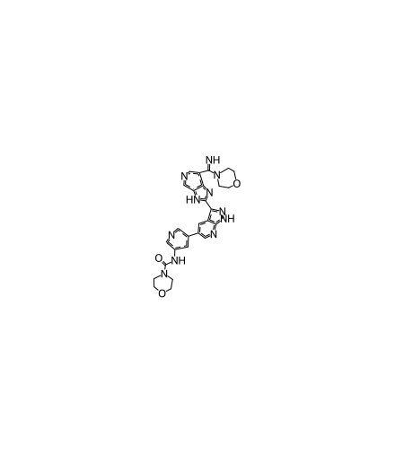 N=C(c1cncc2[nH]c(-c3n[nH]c4ncc(-c5cncc(NC(=O)N6CCOCC6)c5)cc34)nc12)N1CCOCC1